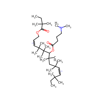 CCC(C)(C)/C=C\C(C)(C)CC(C)(C)C(OC(=O)CCCN(C)C)C(C)(C)C(C)(C)/C=C\COC(=O)C(C)(C)CC